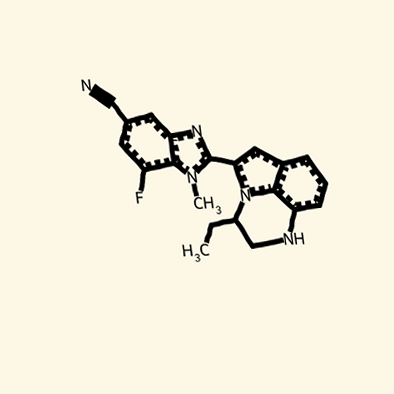 CCC1CNc2cccc3cc(-c4nc5cc(C#N)cc(F)c5n4C)n1c23